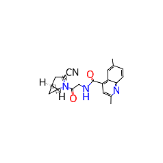 Cc1ccc2nc(C)cc(C(=O)NCC(=O)N3[C@H](C#N)C[C@@H]4C[C@@H]43)c2c1